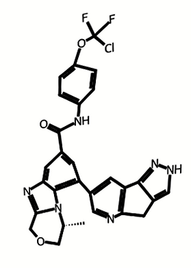 C[C@@H]1COCc2nc3cc(C(=O)Nc4ccc(OC(F)(F)Cl)cc4)cc(-c4cnc5c(c4)-c4n[nH]cc4C5)c3n21